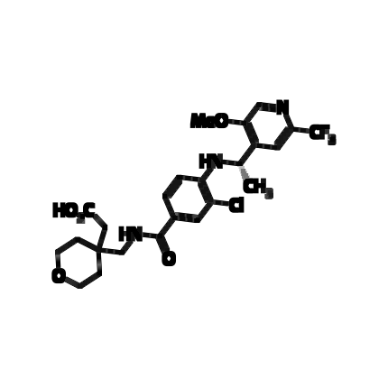 COc1cnc(C(F)(F)F)cc1[C@H](C)Nc1ccc(C(=O)NCC2(CC(=O)O)CCOCC2)cc1Cl